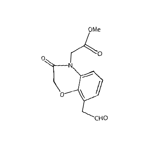 COC(=O)CN1C(=O)COc2c(CC=O)cccc21